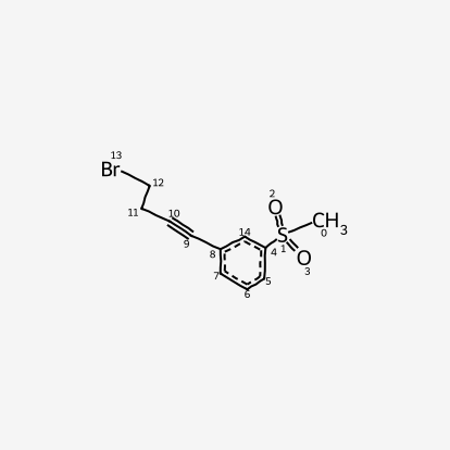 CS(=O)(=O)c1cccc(C#CCCBr)c1